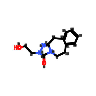 O=c1n(CCO)nc2n1CCc1ccccc1C2